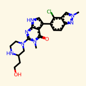 Cn1cc2c(Cl)c(-c3c[nH]c4nc(N5CCNC(CCO)C5)n(C)c(=O)c34)ccc2n1